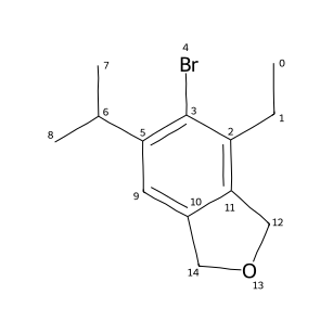 CCc1c(Br)c(C(C)C)cc2c1COC2